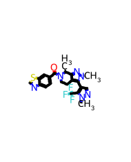 C[C@H]1c2nn(C)c(-c3cnn(C)c3C(F)(F)F)c2CCN1C(=O)c1ccc2ncsc2c1